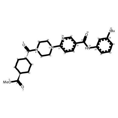 COC(=O)[C@H]1CC[C@H](C(=O)N2CCN(c3ccc(C(=O)Nc4cccc(C(C)(C)C)c4)cn3)CC2)CC1